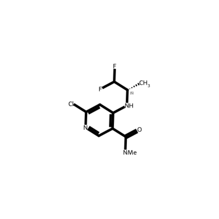 CNC(=O)c1cnc(Cl)cc1N[C@@H](C)C(F)F